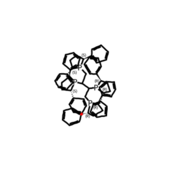 c1ccc([C@H]2CC[C@H](c3ccccc3)P2CC(C(CP2[C@H](c3ccccc3)CC[C@H]2c2ccccc2)P2[C@H](c3ccccc3)CC[C@H]2c2ccccc2)P2[C@@H](c3ccccc3)CC[C@@H]2c2ccccc2)cc1